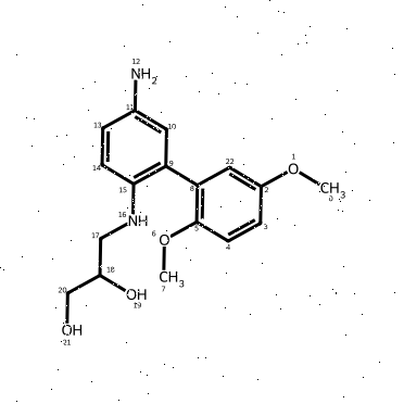 COc1ccc(OC)c(-c2cc(N)ccc2NCC(O)CO)c1